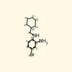 Nc1cc(Br)ccc1NCC1CCCCC1